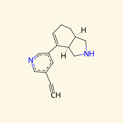 C#Cc1cncc(C2=CCC[C@H]3CNC[C@@H]23)c1